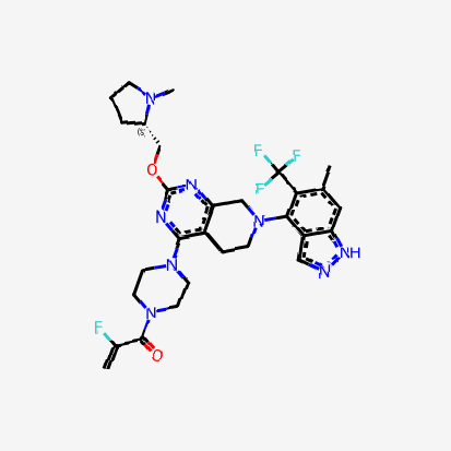 C=C(F)C(=O)N1CCN(c2nc(OC[C@@H]3CCCN3C)nc3c2CCN(c2c(C(F)(F)F)c(C)cc4[nH]ncc24)C3)CC1